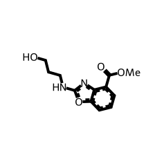 COC(=O)c1cccc2oc(NCCCO)nc12